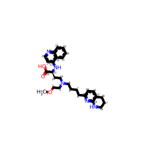 COCCN(CCCCc1ccc2c(n1)NCCC2)CC[C@H](Nc1ccnc2ccccc12)C(=O)O